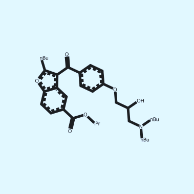 CCCCc1oc2ccc(C(=O)OC(C)C)cc2c1C(=O)c1ccc(OCC(O)CN(CCCC)CCCC)cc1